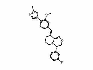 COc1cc(/C=C2\CCCN3C2=NOC[C@@H]3c2cccc(F)c2)ccc1-n1cnc(C)c1